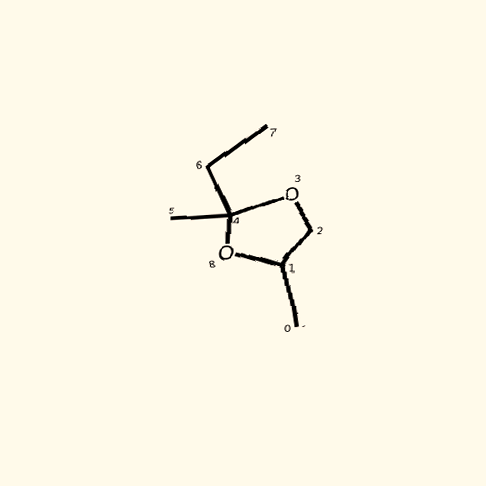 [CH2]C1COC(C)(CC)O1